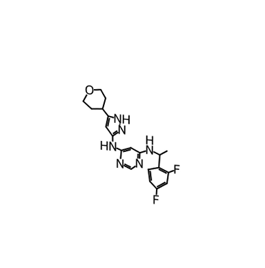 CC(Nc1cc(Nc2cc(C3CCOCC3)[nH]n2)ncn1)c1ccc(F)cc1F